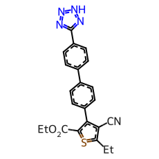 CCOC(=O)c1sc(CC)c(C#N)c1-c1ccc(-c2ccc(-c3nn[nH]n3)cc2)cc1